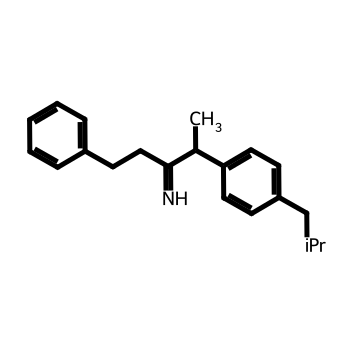 CC(C)Cc1ccc(C(C)C(=N)CCc2ccccc2)cc1